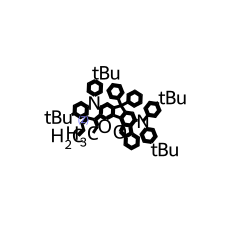 C=C/C=C\c1c(C)oc2c3c(cc(N(c4ccc(C(C)(C)C)cc4)c4ccc(C(C)(C)C)cc4)c12)C(c1ccccc1)(c1ccccc1)c1cc(N(c2ccc(C(C)(C)C)cc2)c2ccc(C(C)(C)C)cc2)c2c(oc4ccccc42)c1-3